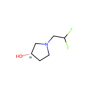 O[C@H]1CCN(CC(F)F)C1